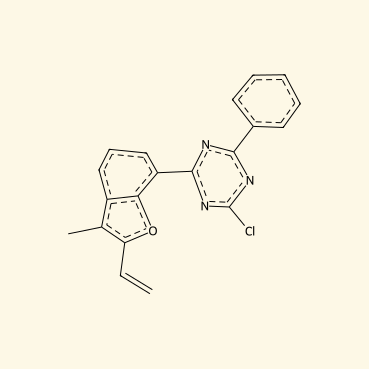 C=Cc1oc2c(-c3nc(Cl)nc(-c4ccccc4)n3)cccc2c1C